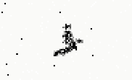 CCC(C)(C)Cc1cc2n(c1)CCN(c1cc(F)cc(-c3cc(Nc4ccc(N5CCN(C6COC6)C[C@@H]5C)cn4)c(=O)n(C)c3)c1C(=O)NC)C2=O